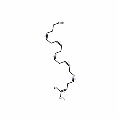 CC/C(=C\C/C=C\C/C=C\C/C=C\C/C=C\C/C=C\CC[C]=O)[N+](=O)[O-]